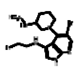 CC(C)CCNc1c[nH]c2ncc(Br)c(N3CCCC(NC(=O)O)C3)c12